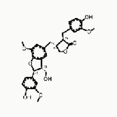 COc1cc(C[C@H]2C(=O)OC[C@@H]2Cc2cc(OC)c3c(c2)[C@H](CO)[C@@H](c2ccc(O)c(OC)c2)O3)ccc1O